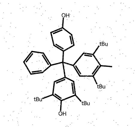 Cc1c(C(C)(C)C)cc(C(c2ccccc2)(c2ccc(O)cc2)c2cc(C(C)(C)C)c(O)c(C(C)(C)C)c2)cc1C(C)(C)C